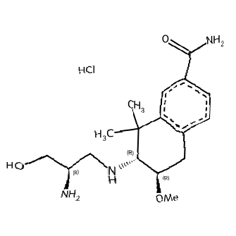 CO[C@@H]1Cc2ccc(C(N)=O)cc2C(C)(C)[C@H]1NC[C@@H](N)CO.Cl